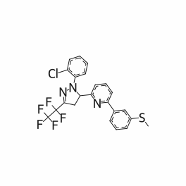 CSc1cccc(-c2cccc(C3CC(C(F)(F)C(F)(F)F)=NN3c3ccccc3Cl)n2)c1